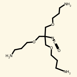 NCCCOCC(COCCCN)(COCCCN)N=C=O